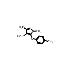 Cc1ccc(Oc2c(C(=O)O)c(C)nn2C)cc1